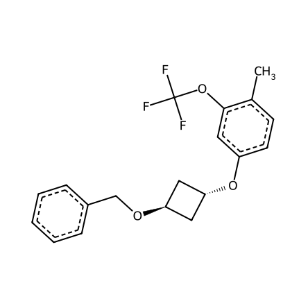 Cc1ccc(O[C@H]2C[C@H](OCc3ccccc3)C2)cc1OC(F)(F)F